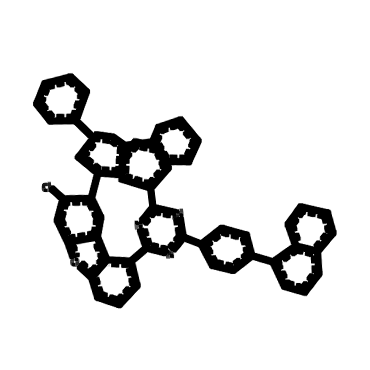 Clc1cc2oc3cccc(-c4nc(-c5ccccc5)nc(-c5ccc(-c6cccc7ccccc67)cc5)n4)c3c2cc1-c1cc(-c2ccccc2)cc(-c2ccccc2)c1